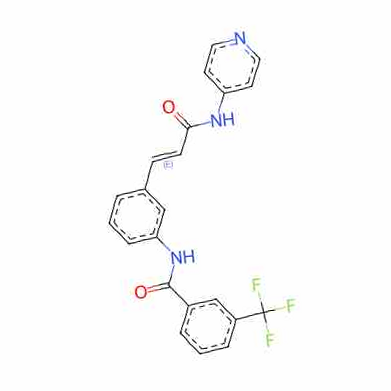 O=C(/C=C/c1cccc(NC(=O)c2cccc(C(F)(F)F)c2)c1)Nc1ccncc1